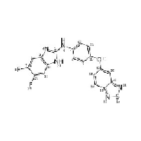 Fc1cc2nc(Nc3ccc(Oc4ccc5nsnc5c4)cc3)[nH]c2cc1F